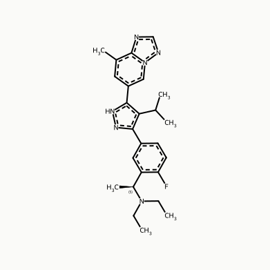 CCN(CC)[C@@H](C)c1cc(-c2n[nH]c(-c3cc(C)c4ncnn4c3)c2C(C)C)ccc1F